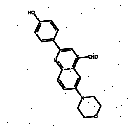 O=Cc1cc(-c2ccc(O)cc2)nc2ccc(N3CCOCC3)cc12